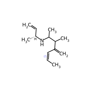 C=C[C@@H](C)NC(C)C(C)C(=C)/C=C\C